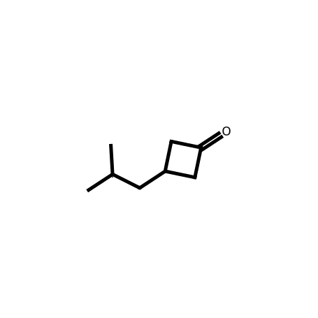 C[C](C)CC1CC(=O)C1